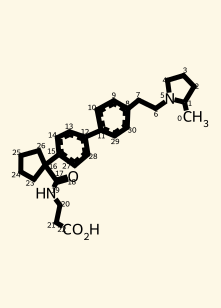 CC1CCCN1CCc1ccc(-c2ccc(C3(C(=O)NCCC(=O)O)CCCC3)cc2)cc1